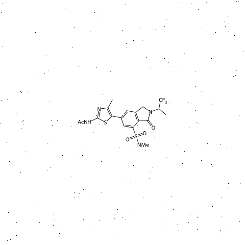 CNS(=O)(=O)c1cc(-c2sc(NC(C)=O)nc2C)cc2c1C(=O)N(C(C)C(F)(F)F)C2